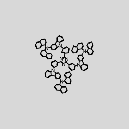 c1cc(-c2nc(-c3cccc(-n4c5ccccc5c5cc(N(c6cccc7ccccc67)c6cccc7ccccc67)ccc54)c3)nc(-c3cccc(-n4c5ccccc5c5cc(N(c6cccc7ccccc67)c6cccc7ccccc67)ccc54)c3)n2)cc(-n2c3ccccc3c3cc(N(c4cccc5ccccc45)c4cccc5ccccc45)ccc32)c1